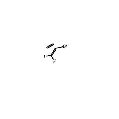 C=C.FC(F)=CBr